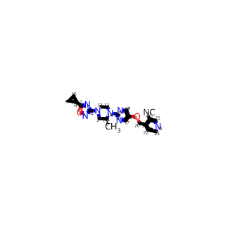 C[C@@H]1CN(c2noc(C3CC3)n2)CCN1c1ncc(OCc2ccncc2C#N)cn1